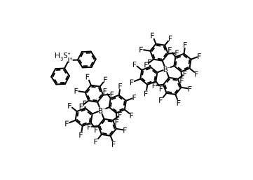 Fc1c(F)c(F)c([B-](c2c(F)c(F)c(F)c(F)c2F)(c2c(F)c(F)c(F)c(F)c2F)c2c(F)c(F)c(F)c(F)c2F)c(F)c1F.Fc1c(F)c(F)c([B-](c2c(F)c(F)c(F)c(F)c2F)(c2c(F)c(F)c(F)c(F)c2F)c2c(F)c(F)c(F)c(F)c2F)c(F)c1F.[SH3+].c1ccc([I+]c2ccccc2)cc1